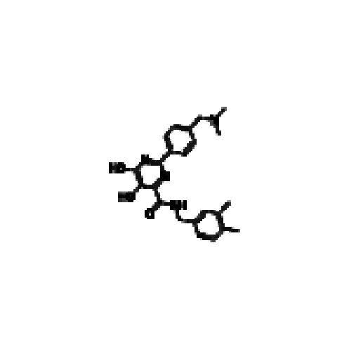 Cc1ccc(CNC(=O)c2nc(-c3ccc(CN(C)C)cc3)nc(O)c2O)cc1C